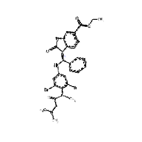 CCOC(=O)c1ccc2c(c1)NC(=O)/C2=C(\Nc1cc(Br)c(N(C)C(=O)CN(C)C)c(Br)c1)c1ccccc1